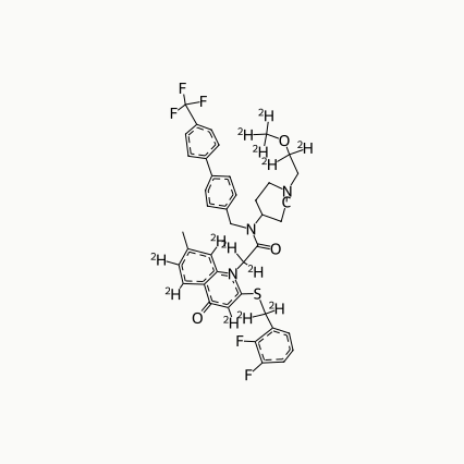 [2H]c1c(C)c([2H])c2c(c1[2H])c(=O)c([2H])c(SC([2H])([2H])c1cccc(F)c1F)n2C([2H])([2H])C(=O)N(Cc1ccc(-c2ccc(C(F)(F)F)cc2)cc1)C1CCN(CC([2H])([2H])OC([2H])([2H])[2H])CC1